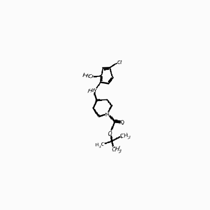 CC(C)(C)OC(=O)N1CCC(Nc2ccc(Cl)cc2O)CC1